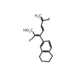 C=C(F)C=CC(=C(F)C(=O)O)c1ccc2c(c1)CCCC2